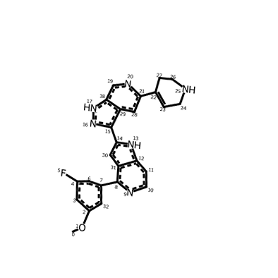 COc1cc(F)cc(-c2nccc3[nH]c(-c4n[nH]c5cnc(C6=CCNCC6)cc45)cc23)c1